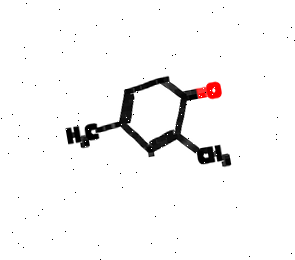 CC1=[C]C(C)=C[CH]C1=O